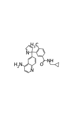 Cc1ccc(C(=O)NCC2CC2)cc1C1(c2ccc3nccc(N)c3c2)C=CC=N1